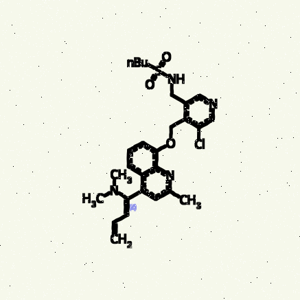 C=C/C=C(/c1cc(C)nc2c(OCc3c(Cl)cncc3CNS(=O)(=O)CCCC)cccc12)N(C)C